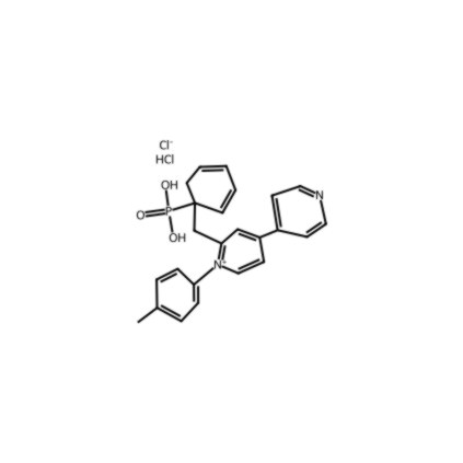 Cc1ccc(-[n+]2ccc(-c3ccncc3)cc2CC2(P(=O)(O)O)C=CC=CC2)cc1.Cl.[Cl-]